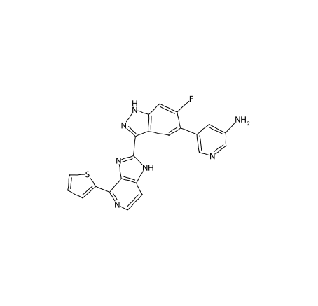 Nc1cncc(-c2cc3c(-c4nc5c(-c6cccs6)nccc5[nH]4)n[nH]c3cc2F)c1